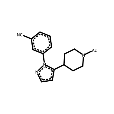 CC(=O)N1CCC(c2ccnn2-c2cccc(C#N)c2)CC1